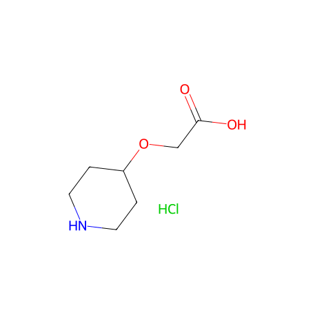 Cl.O=C(O)COC1CCNCC1